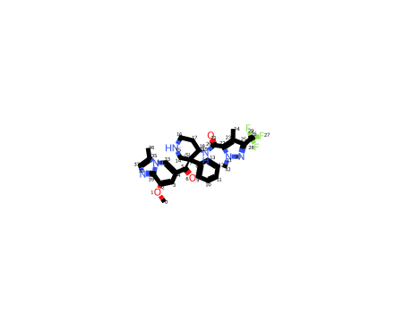 COc1cc(C(=O)[C@@]2(c3ccccc3)CNCC[C@H]2NC(=O)c2c(C)c(C(F)(F)F)nn2C)cn2c(C)cnc12